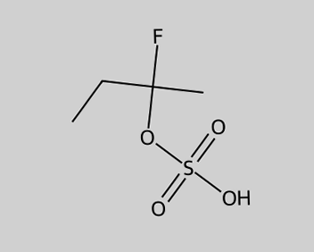 CCC(C)(F)OS(=O)(=O)O